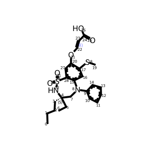 CCCC[C@@]1(CC)CN(c2ccccc2)c2cc(SC)c(O/C=C/C(=O)O)cc2S(=O)(=O)N1